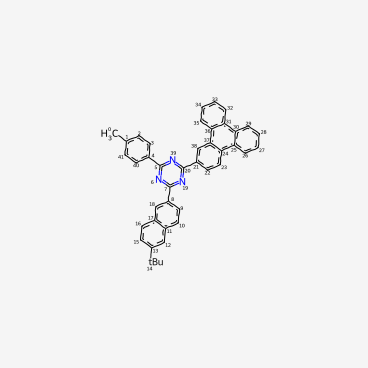 Cc1ccc(-c2nc(-c3ccc4cc(C(C)(C)C)ccc4c3)nc(-c3ccc4c5ccccc5c5ccccc5c4c3)n2)cc1